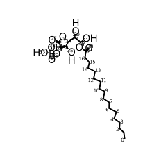 CCCCCCCCCCCCCCCCCC(=O)OC(O)[C@H](O)[C@H]1OC(=O)C(OP(=O)(O)O)=C1O